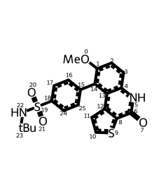 COc1ccc2[nH]c(=O)c3sccc3c2c1-c1ccc(S(=O)(=O)NC(C)(C)C)cc1